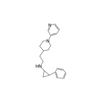 c1ccc(C2CC2NCCC2CCN(c3cccnc3)CC2)cc1